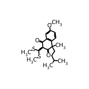 COc1ccc2c(c1)C(=O)C(=C(SC)SC)C(=O)C2(C)CCC(C)C